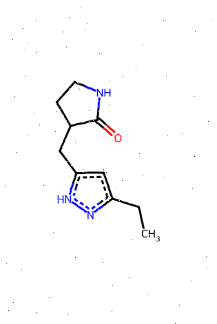 CCc1cc(CC2CCNC2=O)[nH]n1